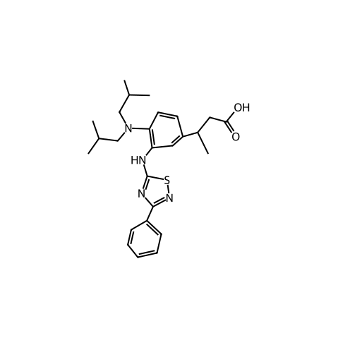 CC(C)CN(CC(C)C)c1ccc(C(C)CC(=O)O)cc1Nc1nc(-c2ccccc2)ns1